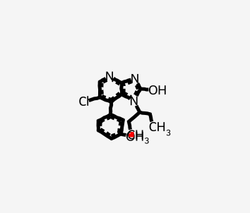 CCC(CC)n1c(O)nc2ncc(Cl)c(-c3cccc(O)c3)c21